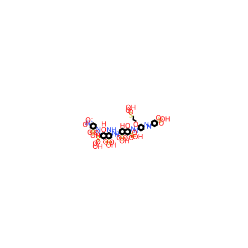 Nc1c(N=Nc2ccc3c(O)c(N=Nc4ccc(N=Nc5ccc(S(=O)(=O)O)cc5)cc4OCCCSOOO)c(S(=O)(=O)O)cc3c2S(=O)(=O)O)cc(S(=O)(=O)O)c2cc(SOOO)c(N=Nc3ccc([N+](=O)[O-])cc3S(=O)(=O)O)c(O)c12